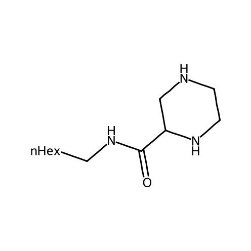 CCCCCCCNC(=O)C1CNCCN1